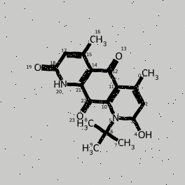 CC1=CC(O)N(C(C)(C)C)C2=C1C(=O)c1c(C)cc(=O)[nH]c1C2=O